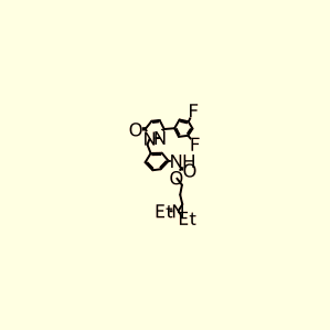 CCN(CC)CCCOC(=O)Nc1cccc(Cn2nc(-c3cc(F)cc(F)c3)ccc2=O)c1